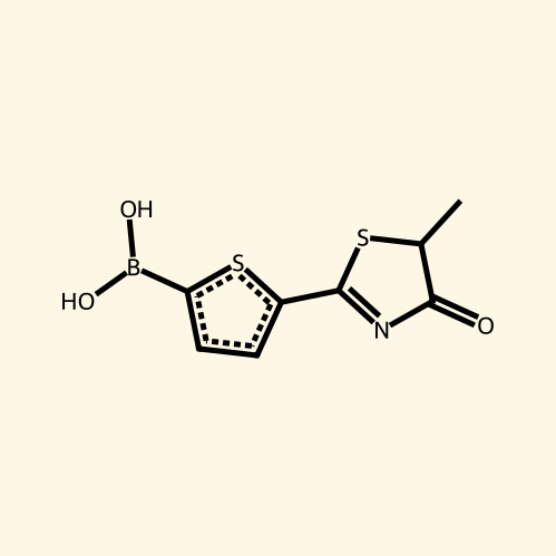 CC1SC(c2ccc(B(O)O)s2)=NC1=O